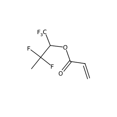 C=CC(=O)OC(C(C)(F)F)C(F)(F)F